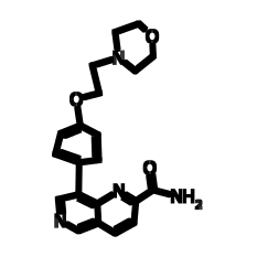 NC(=O)c1ccc2cncc(-c3ccc(OCCN4CCOCC4)cc3)c2n1